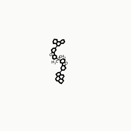 C[Si](C)(c1ccc2oc3ccc(-c4cc5ccccc5c5ccccc45)cc3c2c1)c1ccc2oc3ccc(-c4ccc5ccc6cccc7ccc4c5c67)cc3c2c1